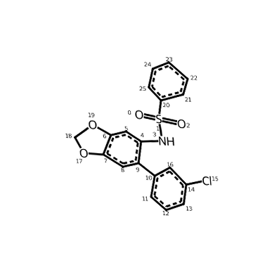 O=S(=O)(Nc1cc2c(cc1-c1cccc(Cl)c1)OCO2)c1ccccc1